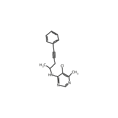 Cc1ncnc(NC(C)CC#Cc2ccccc2)c1Cl